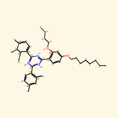 CCCCCCCCOc1ccc(-c2nc(C3=CC=C(C)C(C)C3C)nc(-c3ccc(C)cc3C)n2)c(OCCCC)c1